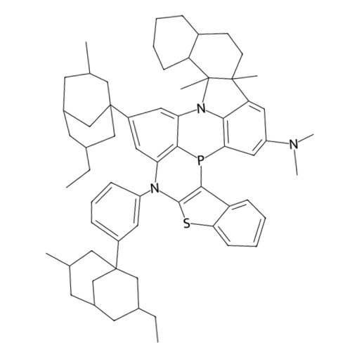 CCC1CC2CC(C)CC(c3cccc(N4c5cc(C67CC(C)CC(CC(CC)C6)C7)cc6c5P(c5cc(N(C)C)cc7c5N6C5(C)C6CCCCC6CCC75C)c5c4sc4ccccc54)c3)(C1)C2